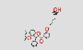 C=C1C=C(C)c2ccc3oc(C(=O)c4cccc(OCCCCCC(C)(C)[Si](C)(C)O)c4)c(-c4ccccc4)c3c2O1